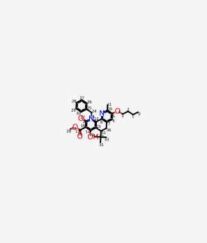 CCCCOc1cc2c(nc1C)-c1c(c(O)c(C(=O)OC)c(=O)n1Cc1ccccc1)C(C(C)(C)C)C2